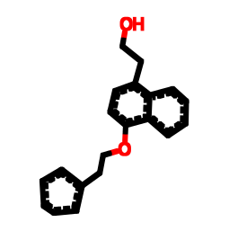 OCCc1ccc(OCCc2ccccc2)c2ccccc12